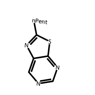 CCCCCc1nc2cncnc2s1